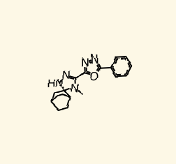 CN1C(c2nnc(-c3ccccc3)o2)=NN[C@@]12CC1CCC2CC1